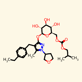 CCc1ccc(Cc2c(O[C@@H]3O[C@H](COC(=O)OCC(C)C)[C@@H](O)[C@H](O)[C@H]3O)nn(C3CCOC3)c2C)cc1